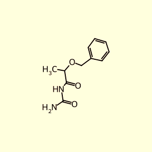 CC(OCc1ccccc1)C(=O)NC(N)=O